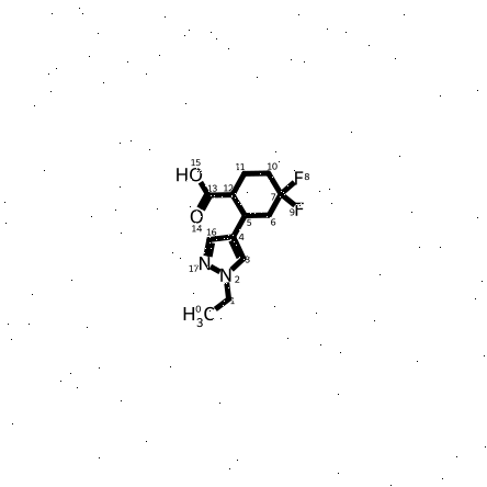 CCn1cc(C2CC(F)(F)CCC2C(=O)O)cn1